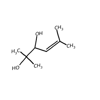 CC(C)=CC(O)C(C)(C)O